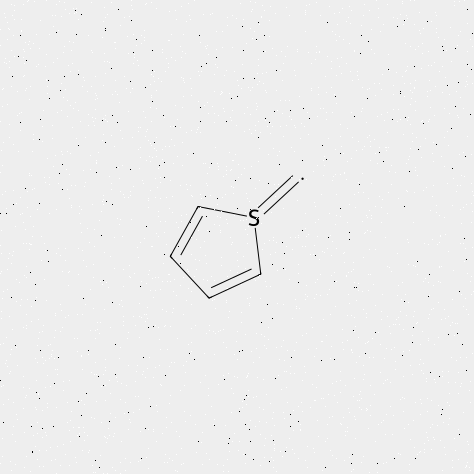 [CH]=S1C=CC=C1